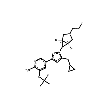 Nc1ncc(-c2cn(C3[C@H]4CN(CCF)C[C@@H]34)c(CC3CC3)n2)cc1OC(F)(F)F